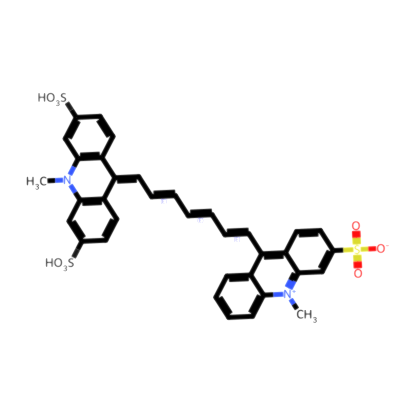 CN1c2cc(S(=O)(=O)O)ccc2C(=C/C=C/C=C/C=C/c2c3ccccc3[n+](C)c3cc(S(=O)(=O)[O-])ccc23)c2ccc(S(=O)(=O)O)cc21